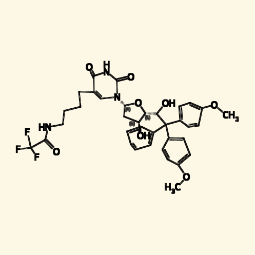 COc1ccc(C(c2ccccc2)(c2ccc(OC)cc2)C(O)[C@H]2O[C@@H](n3cc(CCCCNC(=O)C(F)(F)F)c(=O)[nH]c3=O)C[C@@H]2O)cc1